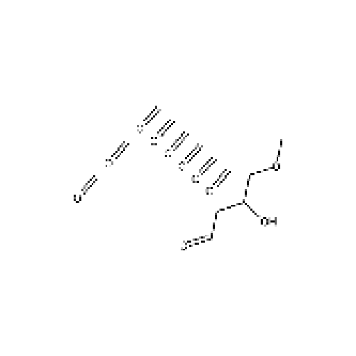 C=O.C=O.C=O.C=O.C=O.C=O.C=O.C=O.COCC(O)CC=O